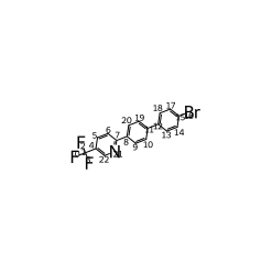 FC(F)(F)c1ccc(-c2ccc(-c3ccc(Br)cc3)cc2)nc1